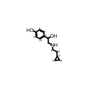 Oc1ccc(C(O)CNCCC2CC2)cc1